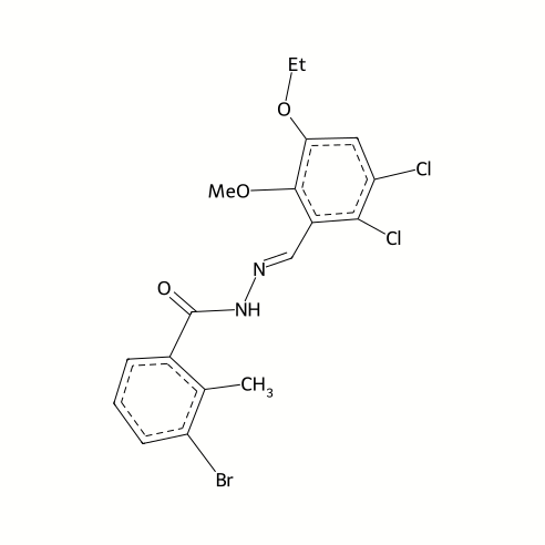 CCOc1cc(Cl)c(Cl)c(C=NNC(=O)c2cccc(Br)c2C)c1OC